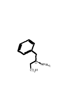 CC(=O)N[C@@H](CC(=O)O)Cc1ccccc1